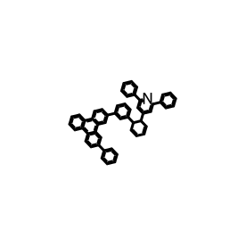 C1=CC(c2cccc(-c3ccc4c5ccccc5c5ccc(-c6ccccc6)cc5c4c3)c2)C(c2cc(-c3ccccc3)nc(-c3ccccc3)c2)C=C1